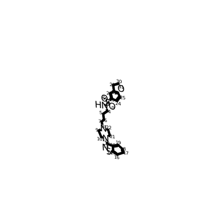 O=S(=O)(NCCCCN1CCN(c2nsc3ccccc23)CC1)c1ccc2c(c1)CCO2